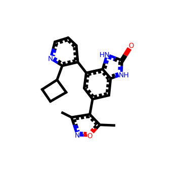 Cc1noc(C)c1-c1cc(-c2cccnc2C2CCC2)c2[nH]c(=O)[nH]c2c1